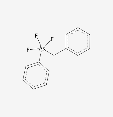 F[As](F)(F)(Cc1ccccc1)c1ccccc1